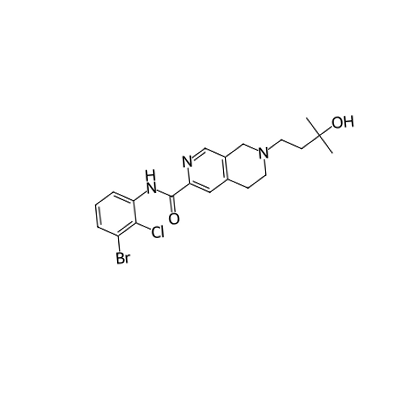 CC(C)(O)CCN1CCc2cc(C(=O)Nc3cccc(Br)c3Cl)ncc2C1